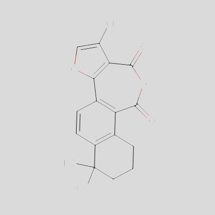 Cc1coc2c1c(=O)oc(=O)c1c3c(ccc12)C(C)(C)CCC3